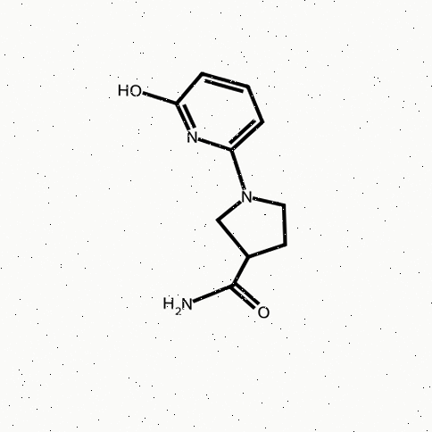 NC(=O)C1CCN(c2cccc(O)n2)C1